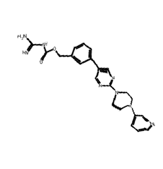 N=C(N)NC(=O)OCc1cccc(-c2cnc(N3CCN(c4cccnc4)CC3)nc2)c1